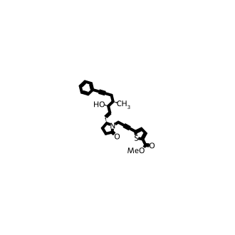 COC(=O)c1ccc(C#CCN2C(=O)CC[C@@H]2C=C[C@H](O)[C@@H](C)CC#Cc2ccccc2)s1